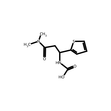 CN(C)C(=O)CC(NC(=O)O)c1cccs1